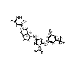 CC(=N)/C=C(\S)N1CC2CC[C@@H](Nc3nc(Oc4cc(F)cc(C(F)(F)F)c4)n(C(C)C)n3)[C@@H]2C1